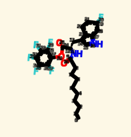 CCCCCCCCCC(=O)N[C@@H](Cc1c[nH]c2cc(F)ccc12)C(=O)Oc1c(F)c(F)c(F)c(F)c1F